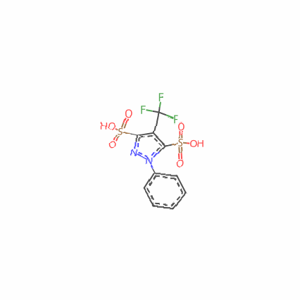 O=S(=O)(O)c1nn(-c2ccccc2)c(S(=O)(=O)O)c1C(F)(F)F